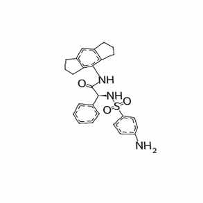 Nc1ccc(S(=O)(=O)N[C@H](C(=O)Nc2c3c(cc4c2CCC4)CCC3)c2ccccc2)cc1